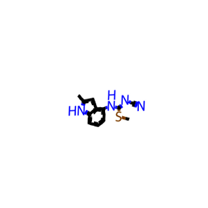 CSC(=NC#N)Nc1cccc2[nH]c(C)cc12